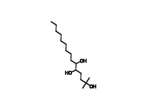 CCCCCCCCCC(O)C(O)CCC(C)(C)O